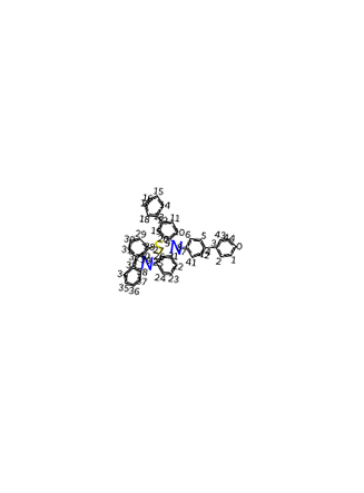 c1ccc(-c2ccc(N(c3ccc(-c4ccccc4)cc3)c3cccc4c3Sc3cccc5c6ccccc6n-4c35)cc2)cc1